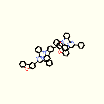 c1ccc(-c2cc(-c3ccc4oc5ccccc5c4c3)nc(-c3ccccc3-n3c4ccccc4c4cc(-c5cccc6c5oc5cccc(-c7cc(-c8ccccc8)nc(-c8ccccc8-n8c9ccccc9c9ccccc98)n7)c56)ccc43)n2)cc1